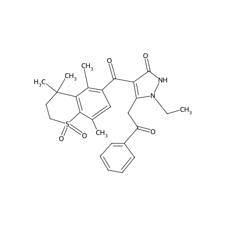 CCn1[nH]c(=O)c(C(=O)c2cc(C)c3c(c2C)C(C)(C)CCS3(=O)=O)c1CC(=O)c1ccccc1